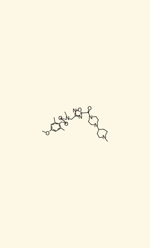 COc1cc(C)c(S(=O)(=O)N(C)Cc2noc(C(=O)N3CCN(C4CCN(C)CC4)CC3)n2)c(C)c1